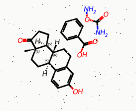 C[C@]12CC[C@@H]3c4ccc(O)cc4CC[C@H]3[C@@H]1CCC2=O.NOC(N)=O.O=C(O)c1ccccc1